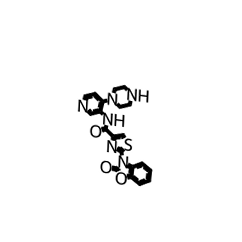 O=C(Nc1cnccc1N1CCNCC1)c1csc(-n2c(=O)oc3ccccc32)n1